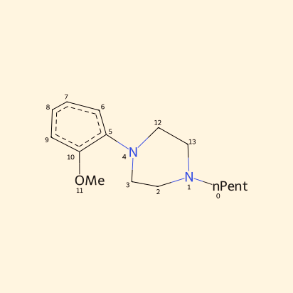 CCCCCN1CCN(c2ccccc2OC)CC1